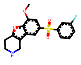 COc1cc(S(=O)(=O)c2cccc(F)c2)cc2c3c(oc12)CCNC3